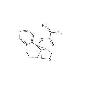 C=C(C)C(=O)OC12c3ccccc3CCCC13COCC32